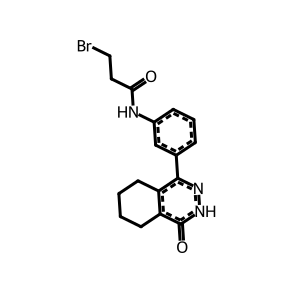 O=C(CCBr)Nc1cccc(-c2n[nH]c(=O)c3c2CCCC3)c1